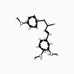 COc1ccc(CC(C)/C=C/c2ccc(OC)c(OC)c2)cc1